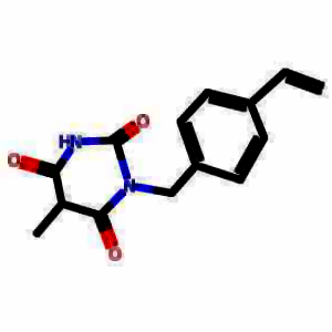 C=Cc1ccc(CN2C(=O)NC(=O)C(C)C2=O)cc1